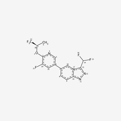 C[C@@H](Oc1ncc(-c2ccc3nnc(C(F)F)n3c2)cc1F)C(F)(F)F